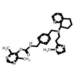 Cc1ncnc(C)c1OC(=O)NCc1ccc(CN(CCc2nccn2C)C2CCCc3cccnc32)cc1